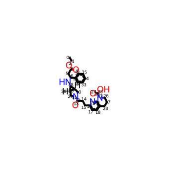 CCOC(=O)CC(NC1[C@H]2CN(C(=O)CCc3ccc4c(n3)N(C(=O)O)CCC4)C[C@@H]12)c1ccccc1